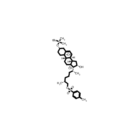 Cc1ccc(S(=O)(=O)OC[C@H](C)CCC[C@@H](C)[C@H]2[C@@H](O)C[C@H]3[C@@H]4CC=C5C[C@@H](O[Si](C)(C)C(C)(C)C)CC[C@]5(C)[C@H]4CC[C@]23C)cc1